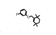 CC1(C)C=C(COc2cccc(F)c2)C(C)(C)CC1